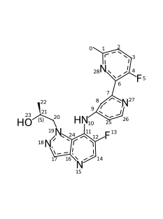 Cc1ccc(F)c(-c2cc(Nc3c(F)cnc4cnn(C[C@H](C)O)c34)ccn2)n1